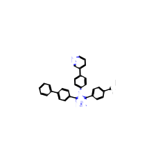 CC(C)c1ccc(-c2nnc(-c3ccc(-c4ccccc4)cc3)n2-c2ccc(-c3cccnc3)cc2)cc1